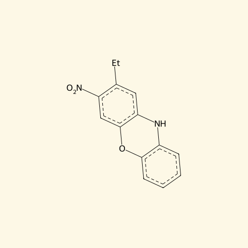 CCc1cc2c(cc1[N+](=O)[O-])Oc1ccccc1N2